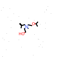 C=C(C)C[N+](C)(CCO)CCOC(C)C